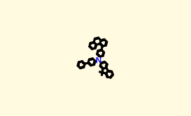 CC1(C)c2ccccc2-c2ccc(N(c3ccc(-c4ccccc4)cc3)c3ccc(-c4cccc5ccc6ccccc6c45)cc3)cc21